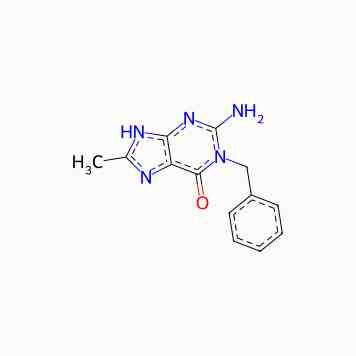 Cc1nc2c(=O)n(Cc3ccccc3)c(N)nc2[nH]1